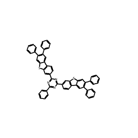 c1ccc(-c2nc(-c3ccc4c(c3)sc3cc(-c5ccccc5)c(-c5ccccc5)cc34)nc(-c3ccc4c(c3)sc3cc(-c5ccccc5)c(-c5ccccc5)cc34)n2)cc1